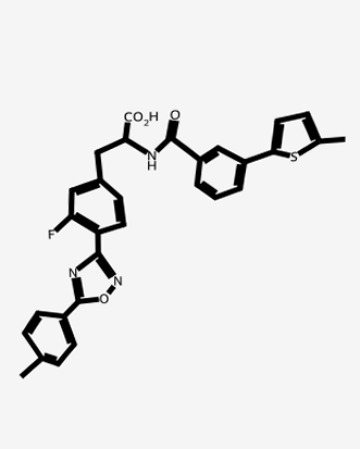 Cc1ccc(-c2nc(-c3ccc(CC(NC(=O)c4cccc(-c5ccc(C)s5)c4)C(=O)O)cc3F)no2)cc1